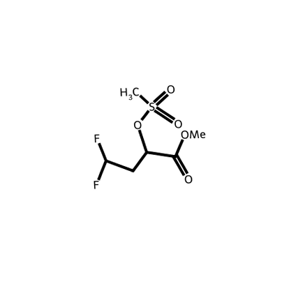 COC(=O)C(CC(F)F)OS(C)(=O)=O